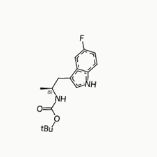 C[C@@H](Cc1c[nH]c2ccc(F)cc12)NC(=O)OC(C)(C)C